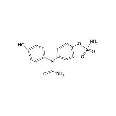 N#Cc1ccc(N(C(N)=O)c2ccc(OS(N)(=O)=O)cc2)cc1